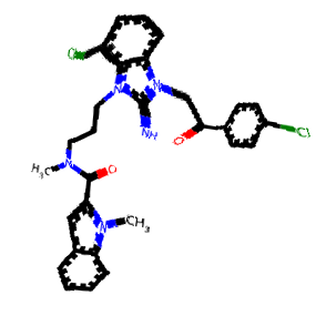 CN(CCCn1c(=N)n(CC(=O)c2ccc(Cl)cc2)c2cccc(Cl)c21)C(=O)c1cc2ccccc2n1C